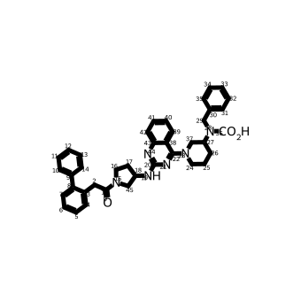 O=C(Cc1ccccc1-c1ccccc1)N1CCC(Nc2nc(N3CCCC(N(Cc4ccccc4)C(=O)O)C3)c3ccccc3n2)C1